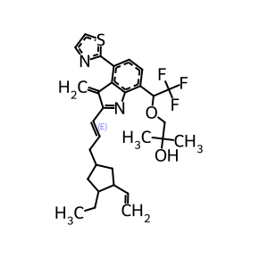 C=CC1CC(C/C=C/C2=Nc3c(C(OCC(C)(C)O)C(F)(F)F)ccc(-c4nccs4)c3C2=C)CC1CC